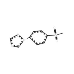 CS(=O)(=O)c1ccc(-[n+]2cscn2)cc1